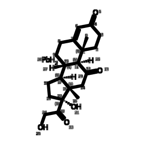 C[C@]12CCC(=O)C=C1CC[C@@H]1[C@@H]2C(=O)C[C@@]2(C)[C@H]1CC[C@]2(O)C(=O)CO.[PbH2]